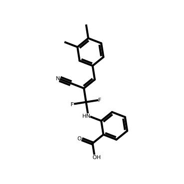 Cc1ccc(/C=C(\C#N)C(F)(F)Nc2ccccc2C(=O)O)cc1C